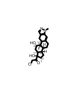 C[C@H]1C[C@H]2[C@@H]3CCC4=Cc5c(cnn5C)C[C@]4(C)[C@@]3(F)[C@@H](O)C[C@]2(C)[C@@]1(O)C(=O)CCl